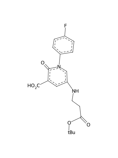 CC(C)(C)OC(=O)CCNc1cc(C(=O)O)c(=O)n(-c2ccc(F)cc2)c1